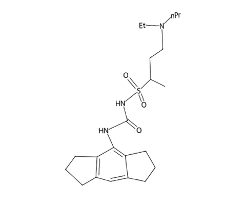 CCCN(CC)CCC(C)S(=O)(=O)NC(=O)Nc1c2c(cc3c1CCC3)CCC2